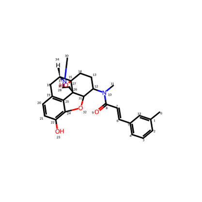 Cc1cccc(/C=C/C(=O)N(C)C2CC[C@@]3(O)[C@H]4Cc5ccc(O)c6c5[C@@]3(CCN4C)C2O6)c1